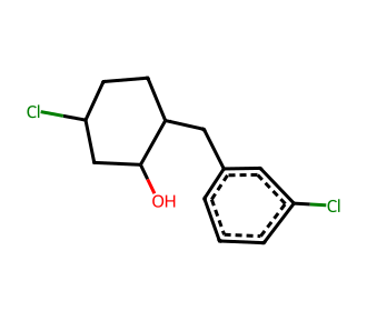 OC1CC(Cl)CC[C]1Cc1cccc(Cl)c1